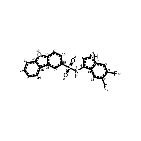 O=S(=O)(Nc1c[nH]c2cc(F)c(F)cc12)c1ccc2oc3ccccc3c2c1